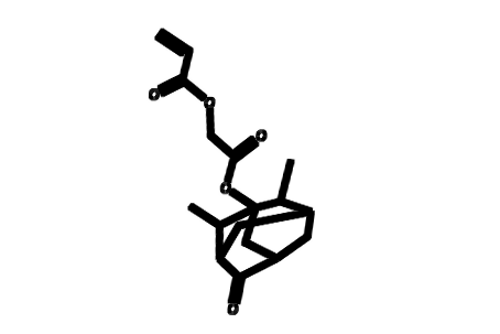 C=CC(=O)OCC(=O)OC12CC3CC(CC(C3=O)C1C)C2C